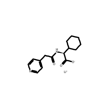 O=C(Cc1ccncc1)N[C@H](C(=O)[O-])C1CCCCC1.[Li+]